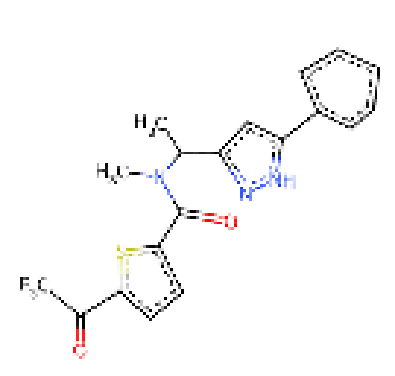 CC(c1cc(-c2ccccc2)[nH]n1)N(C)C(=O)c1ccc(C(=O)C(F)(F)F)s1